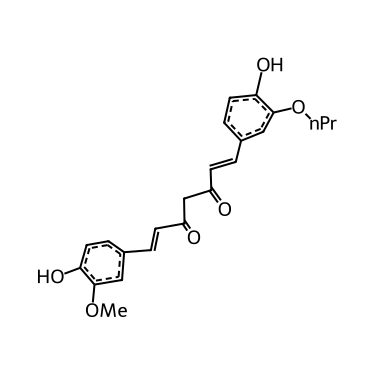 CCCOc1cc(C=CC(=O)CC(=O)C=Cc2ccc(O)c(OC)c2)ccc1O